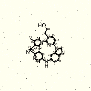 Cc1ccc(Nc2ccc3ncn(-c4ccc(CCO)c(-n5cc(C#N)c(C)n5)n4)c3c2)nn1